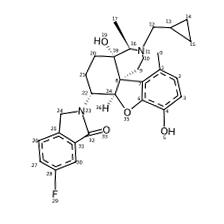 Cc1ccc(O)c2c1[C@]13CCN(CC4CC4)[C@H](C)[C@]1(O)CC[C@@H](N1Cc4ccc(F)cc4C1=O)[C@@H]3O2